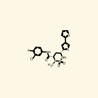 CN1[C@H](C(=O)Nc2ccc(F)c(Cl)c2)C[C@H](c2cc(-c3cccs3)cs2)NS1(=O)=O